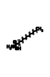 CCCCCCCCCCCCC(=O)N(N)O